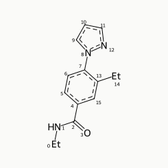 CCNC(=O)c1ccc(-n2cccn2)c(CC)c1